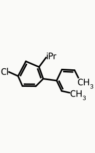 C/C=C\C(=C/C)c1ccc(Cl)cc1C(C)C